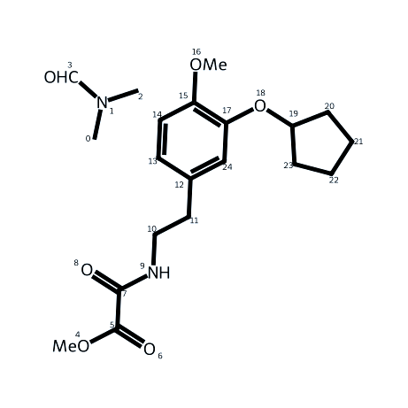 CN(C)C=O.COC(=O)C(=O)NCCc1ccc(OC)c(OC2CCCC2)c1